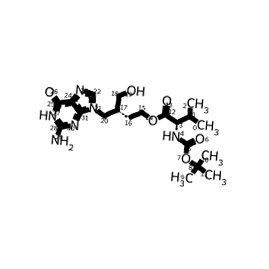 CC(C)[C@H](NC(=O)OC(C)(C)C)C(=O)OCC[C@@H](CO)Cn1cnc2c(=O)[nH]c(N)nc21